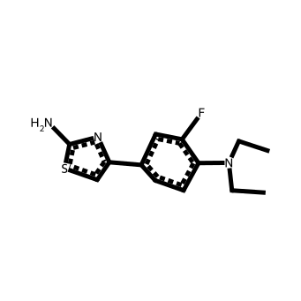 CCN(CC)c1ccc(-c2csc(N)n2)cc1F